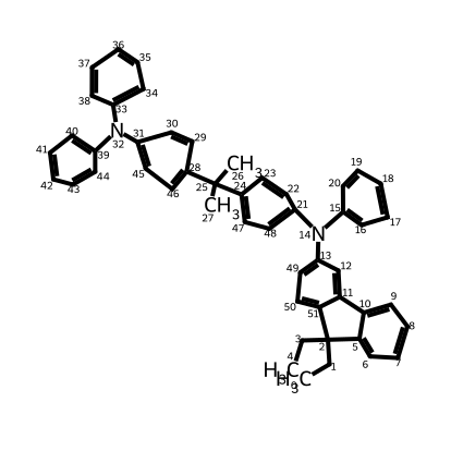 CCC1(CC)c2ccccc2-c2cc(N(c3ccccc3)c3ccc(C(C)(C)c4ccc(N(c5ccccc5)c5ccccc5)cc4)cc3)ccc21